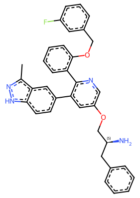 Cc1n[nH]c2ccc(-c3cc(OC[C@@H](N)Cc4ccccc4)cnc3-c3ccccc3OCc3cccc(F)c3)cc12